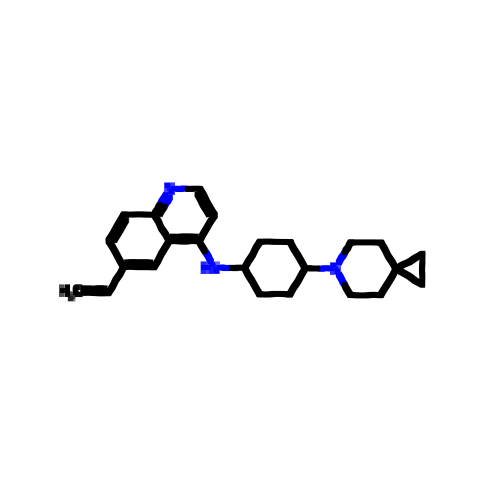 C=Cc1ccc2nccc(NC3CCC(N4CCC5(CC4)CC5)CC3)c2c1